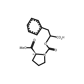 COC(=O)[C@@H]1CCCN1C(=O)OC(Cc1ccccc1)C(=O)O